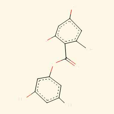 Cc1cc(O)cc(OC(=O)c2c(C)cc(O)cc2O)c1